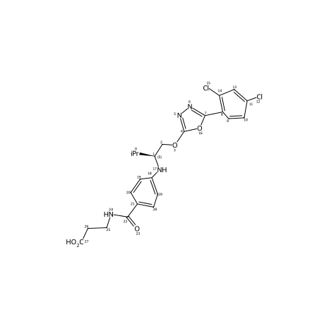 CC(C)[C@@H](COc1nnc(-c2ccc(Cl)cc2Cl)o1)Nc1ccc(C(=O)NCCC(=O)O)cc1